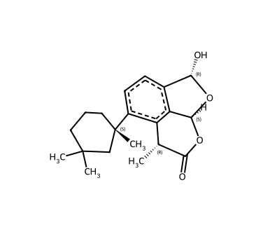 C[C@H]1C(=O)O[C@@H]2O[C@@H](O)c3ccc([C@@]4(C)CCCC(C)(C)C4)c1c32